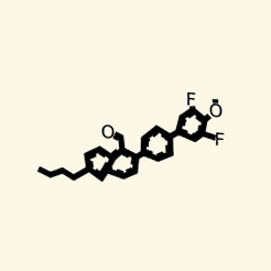 CCCCc1ccc2c(C=O)c(-c3ccc(-c4cc(F)c(OC)c(F)c4)cc3)ccc2c1